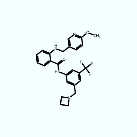 COc1ccc(CNc2ccccc2C(=O)Nc2cc(CN3CCC3)cc(C(F)(F)F)c2)cn1